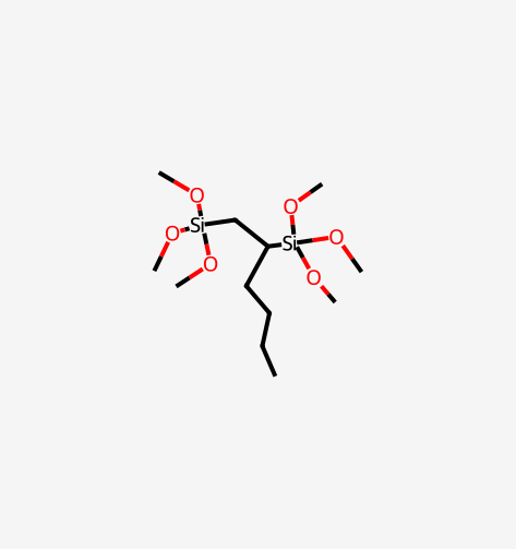 CCCCC(C[Si](OC)(OC)OC)[Si](OC)(OC)OC